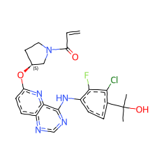 C=CC(=O)N1CC[C@H](Oc2ccc3ncnc(Nc4ccc(C(C)(C)O)c(Cl)c4F)c3n2)C1